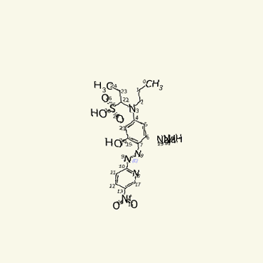 CCCN(c1ccc(/N=N/c2ccc([N+](=O)[O-])cn2)c(O)c1)C(CC)S(=O)(=O)O.[NaH].[NaH]